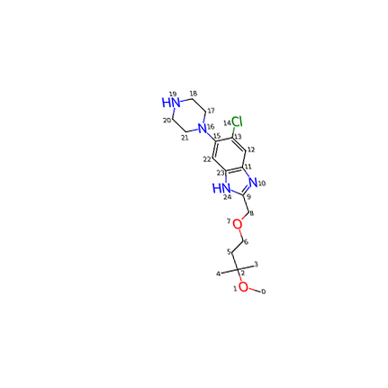 COC(C)(C)CCOCc1nc2cc(Cl)c(N3CCNCC3)cc2[nH]1